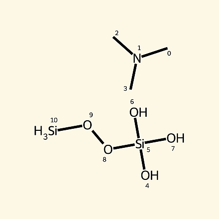 CN(C)C.O[Si](O)(O)OO[SiH3]